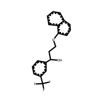 OC(CCOc1cccc2ccccc12)c1cccc(C(F)(F)F)c1